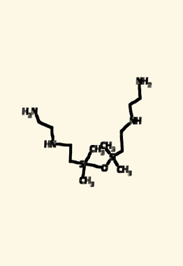 C[Si](C)(CCNCCN)O[Si](C)(C)CCNCCN